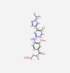 COc1cc(C(=O)N(C)CCO)ccc1Nc1ncc(Cl)c(-c2cnn(C(C)C)c2)n1